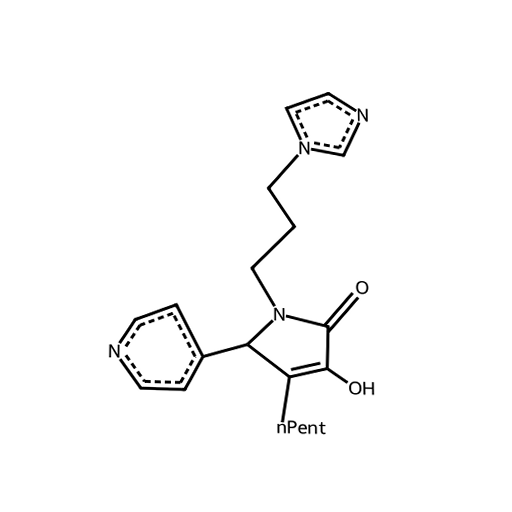 CCCCCC1=C(O)C(=O)N(CCCn2ccnc2)C1c1ccncc1